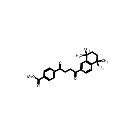 COC(=O)c1ccc(C(=O)CCC(=O)c2ccc3c(c2)C(C)(C)CCC3(C)C)cc1